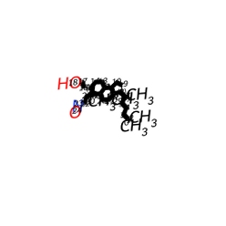 CC(C)CCC[C@@H](C)[C@H]1CCC2C3CC[C@@H](CCO)[C@](C)(CCN=O)C3CC[C@@]21C